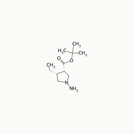 CC[C@H]1CN(N)C[C@H]1C(=O)OC(C)(C)C